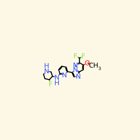 COc1cc2ncc(-c3cccc(NC4CNCCC4F)n3)n2nc1C(F)F